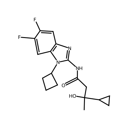 CC(O)(CC(=O)Nc1nc2cc(F)c(F)cc2n1C1CCC1)C1CC1